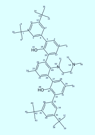 Cc1cc(-c2cc(C(C)(C)C)cc(C(C)(C)C)c2)c(O)c(-c2cc(C)cc(-c3cc(C)cc(-c4cc(C(C)(C)C)cc(C(C)(C)C)c4)c3O)c2N(C)CCN(C)C)c1